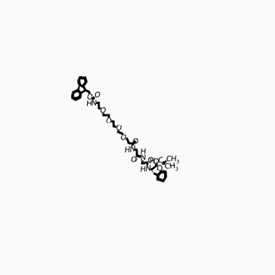 CC(C)(C)OC(=O)[C@H](Cc1ccccc1)NC(=O)CNC(=O)CNC(=O)CCOCCOCCOCCOCCNC(=O)OCC1c2ccccc2-c2ccccc21